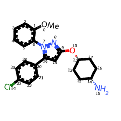 COc1ccccc1-n1nc(O[C@H]2CC[C@@H](N)CC2)cc1-c1ccc(Cl)cc1